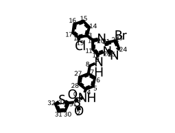 O=S(=O)(Nc1ccc(CNc2cc(-c3ccccc3Cl)nc3c(Br)cnn23)cc1)c1cccs1